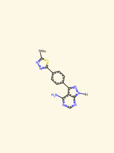 [CH2]Cn1nc(-c2ccc(-c3nnc(NC)s3)cc2)c2c(N)ncnc21